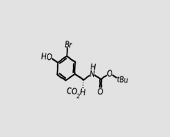 CC(C)(C)OC(=O)N[C@H](C(=O)O)c1ccc(O)c(Br)c1